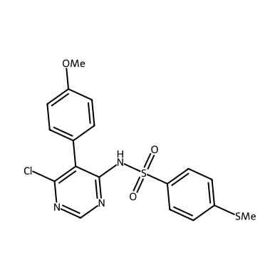 COc1ccc(-c2c(Cl)ncnc2NS(=O)(=O)c2ccc(SC)cc2)cc1